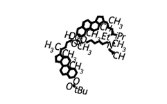 C#CCN(C)CCCCCCO[Si](C)(C)OC(CC[C@H](C)C1CCC2C3CCC4C[C@@H](OC(=O)C(C)(C)C)CC[C@@]4(C)C3CC[C@]21C)OC1CCC2(C)C(=CCC3C2CCC2(C)C(C(C)CCC(CC)C(C)C)CCC32)C1